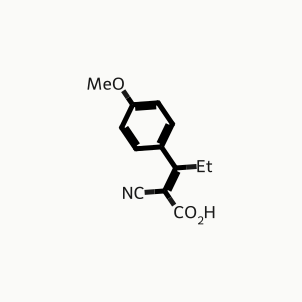 CC/C(=C(/C#N)C(=O)O)c1ccc(OC)cc1